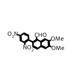 COc1cc2ccc(-c3ccc([N+](=O)[O-])cc3[N+](=O)[O-])c(C=O)c2cc1OC